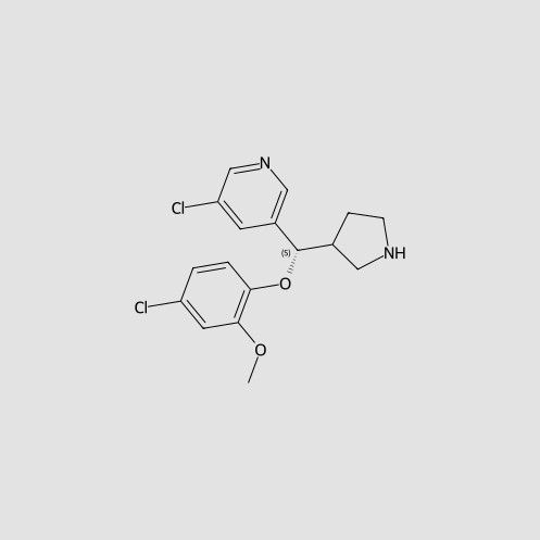 COc1cc(Cl)ccc1O[C@H](c1cncc(Cl)c1)C1CCNC1